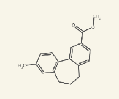 COC(=O)c1ccc2c(c1)-c1ccc(C)cc1CCC2